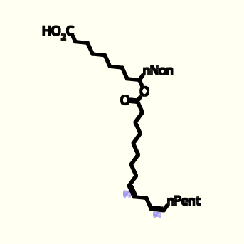 CCCCC/C=C\C/C=C\CCCCCCCC(=O)OC(CCCCCCCCC)CCCCCCCC(=O)O